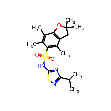 Cc1c(C)c(S(=O)(=O)Nc2nc(C(C)C)ns2)c(C)c2c1OC(C)(C)C2